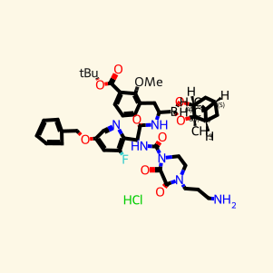 COc1c(CC(NC(=O)C(NC(=O)N2CCN(CCCN)C(=O)C2=O)c2ncc(OCc3ccccc3)cc2F)B2O[C@@H]3C[C@@H]4C[C@@H](C4(C)C)[C@]3(C)O2)cccc1C(=O)OC(C)(C)C.Cl